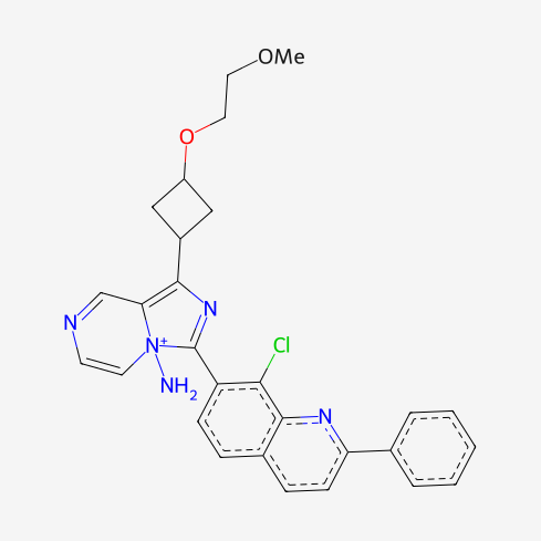 COCCOC1CC(C2=C3C=NC=C[N+]3(N)C(c3ccc4ccc(-c5ccccc5)nc4c3Cl)=N2)C1